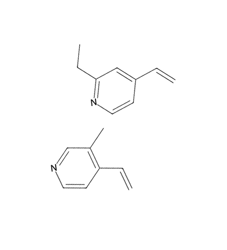 C=Cc1ccnc(CC)c1.C=Cc1ccncc1C